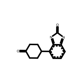 O=C1CCC(c2cccc3c2=NC(=O)N=3)CC1